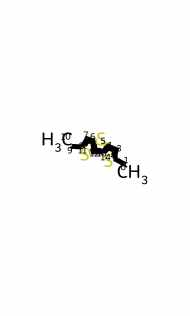 CCc1cc2sc3cc(CC)sc3c2s1